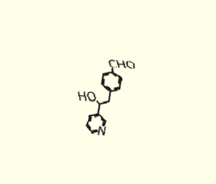 O=Cc1ccc(CC(O)c2cccnc2)cc1